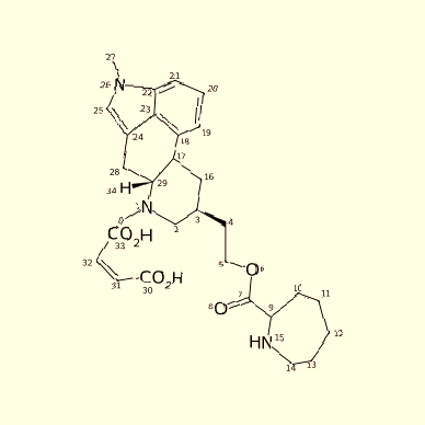 CN1C[C@H](CCOC(=O)C2CCCCCN2)CC2c3cccc4c3c(cn4C)C[C@H]21.O=C(O)/C=C\C(=O)O